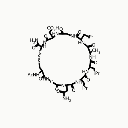 CC(=O)NC1CSSCC(C(N)=O)NC(=O)C(CC(=O)O)NC(=O)CNC(=O)C(CC(C)C)NC(=O)C(C)NC(=O)C(CC(C)C)NC(=O)C(CC(C)C)NC(=O)C(CC(N)=O)NC(=O)CNC1=O